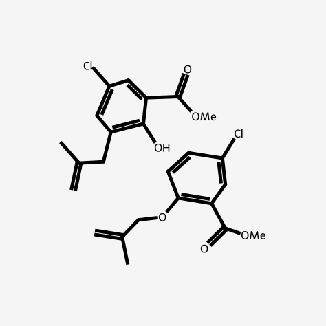 C=C(C)COc1ccc(Cl)cc1C(=O)OC.C=C(C)Cc1cc(Cl)cc(C(=O)OC)c1O